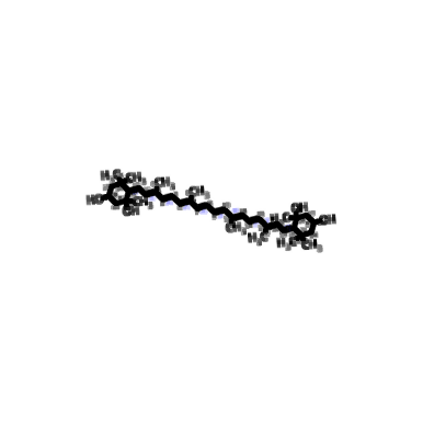 CC(/C=C/C=C(C)/C=C/C=C/C(C)=C/C=C/C(C)=C/C=C1/C(C)(C)CC(O)CC1(C)O)=C\C=C1\C(C)(C)CC(O)CC1(C)O